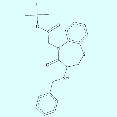 CC(C)(C)OC(=O)CN1C(=O)C(NCc2ccccc2)CSc2ccccc21